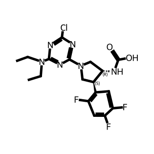 CCN(CC)c1nc(Cl)nc(N2C[C@H](NC(=O)O)[C@@H](c3cc(F)c(F)cc3F)C2)n1